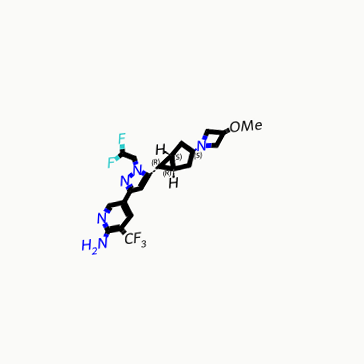 COC1CN([C@@H]2C[C@@H]3[C@H](C2)[C@H]3c2cc(-c3cnc(N)c(C(F)(F)F)c3)nn2CC(F)F)C1